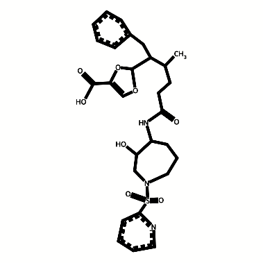 CC(CCC(=O)NC1CCCN(S(=O)(=O)c2ccccn2)CC1O)C(Cc1ccccc1)C1OC=C(C(=O)O)O1